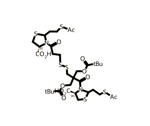 CC(=O)SCCC1SC[C@@H](C(=O)O)N1C(=O)CCSSCC(COC(=O)C(C)(C)C)(COC(=O)C(C)(C)C)C(=O)N1C(CCSC(C)=O)SC[C@H]1C(=O)O